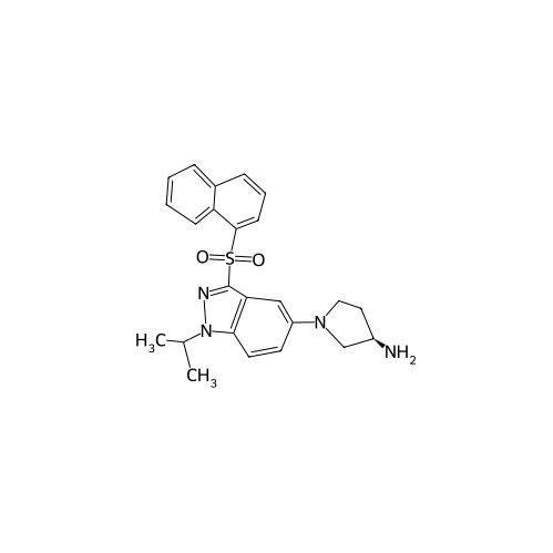 CC(C)n1nc(S(=O)(=O)c2cccc3ccccc23)c2cc(N3CC[C@@H](N)C3)ccc21